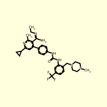 CC/N=C(/N)c1c(-c2ccc(NC(=O)Nc3cc(C(F)(F)F)ccc3CN3CCN(C)CC3)cc2)cc(C2CC2)nc1C